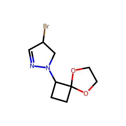 BrC1C=NN(C2CCC23OCCO3)C1